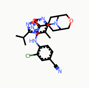 Cc1c(Nc2ccc(C#N)cc2Cl)ncnc1N1C2COCC1CC(c1nc(C(C)C)no1)C2